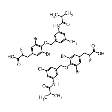 CC(C)C(=O)Nc1cc(Cl)cc(COc2c(Br)cc(CC(F)C(=O)O)cc2Br)c1.Cc1cc(COc2c(Br)cc(CC(F)C(=O)O)cc2Br)cc(NC(=O)C(C)C)c1